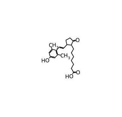 Cc1cc(O)cc(C)c1C=CC1CCC(=O)C1CCCCCCC(=O)O